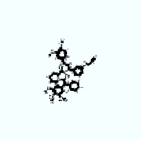 C#CCOc1cccc(C(CCc2ccc(OC)c(OC)c2)OC(=O)C2CCCCN2C(=O)C(c2cc(OC)c(OC)c(OC)c2)C2CCCCC2)c1